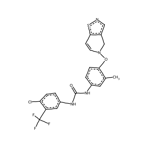 Cc1cc(NC(=O)Nc2ccc(Cl)c(C(F)(F)F)c2)ccc1ON1C=Cc2sncc2C1